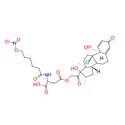 C[C@H]1C[C@H]2[C@@H]3CCC4=CC(=O)C=C[C@]4(C)[C@@]3(Cl)[C@@H](O)C[C@]2(C)C1(O)C(=O)COC(=O)CC(NC(=O)CCCCCO[N+](=O)[O-])C(=O)O